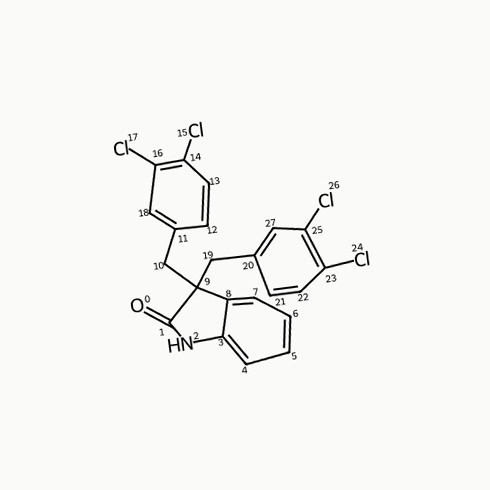 O=C1Nc2ccccc2C1(Cc1ccc(Cl)c(Cl)c1)Cc1ccc(Cl)c(Cl)c1